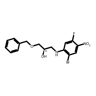 O=[N+]([O-])c1cc(Br)c(NC[C@@H](O)COCc2ccccc2)cc1F